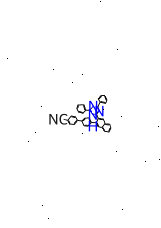 N#Cc1ccc(-c2ccc(-c3cc4ccccc4cc3C3=NC(c4ccccc4)=NC(c4ccccc4)N3)cc2)cc1